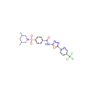 CC1CC(C)CN(S(=O)(=O)c2ccc(C(=O)Nc3nnc(-c4ccc(C(F)(F)F)cn4)o3)cc2)C1